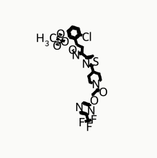 CS(=O)(=O)Oc1cccc(Cl)c1C1CC(c2csc(C3CCN(C(=O)COc4cncc(C(F)(F)F)n4)CC3)n2)=NO1